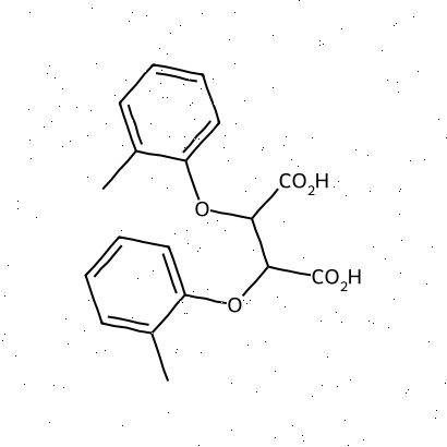 Cc1ccccc1OC(C(=O)O)C(Oc1ccccc1C)C(=O)O